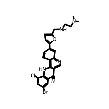 Cc1cc(Br)cc(Cl)c1Nc1c(C#N)cnc2cc(-c3ccc(CNCCN(C)C)o3)ccc12